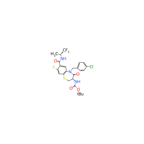 C[C@H](NC(=O)c1cc2c(cc1F)SC[C@H](NC(=O)OC(C)(C)C)C(=O)N2Cc1ccc(Cl)cc1)C(F)(F)F